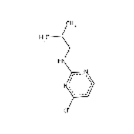 CC(C)CNc1nccc(Cl)n1